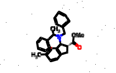 COC(=O)[C@@H]1Cc2ccc(C)cc2[C@H]1N(Cc1ccccc1)[C@H](C)c1ccccc1